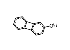 Oc1ccc2c(c1)-c1ccccc1-2